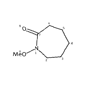 CON1CCCCCC1=O